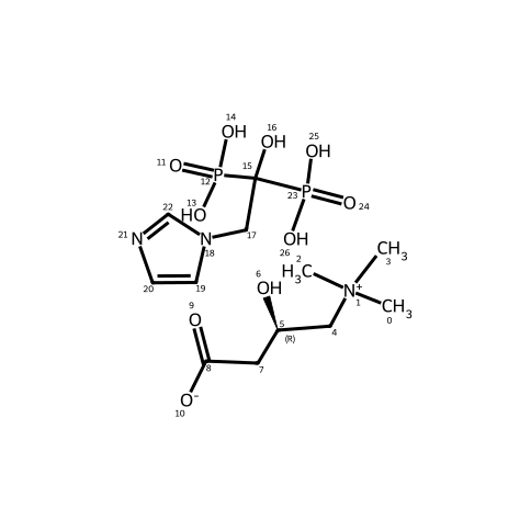 C[N+](C)(C)C[C@H](O)CC(=O)[O-].O=P(O)(O)C(O)(Cn1ccnc1)P(=O)(O)O